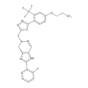 CCCOc1ccc(-c2cc(CN3Cc4nc(-c5ccccc5F)[nH]c4C=N3)on2)c(C(F)(F)F)c1